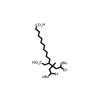 CCCCC(CC)CC(C)(CC(CC)CCCC)C(CCCCCCCCCCC(=O)O)CC(=O)O